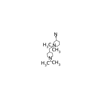 CC(C)N1CCC(CC(C)(C)N2CCCC(C#N)C2)CC1